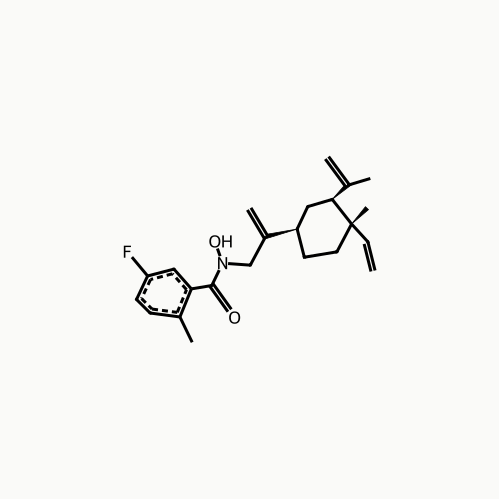 C=C[C@]1(C)CC[C@@H](C(=C)CN(O)C(=O)c2cc(F)ccc2C)C[C@H]1C(=C)C